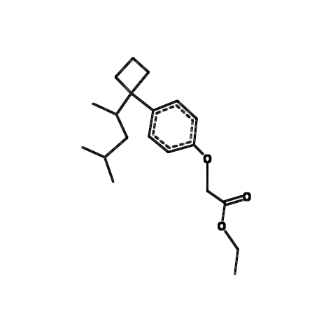 CCOC(=O)COc1ccc(C2(C(C)CC(C)C)CCC2)cc1